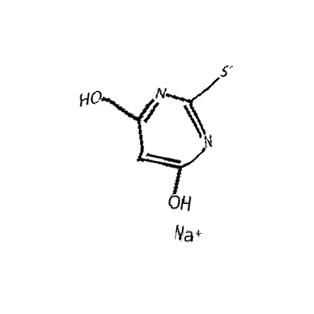 Oc1cc(O)nc([S-])n1.[Na+]